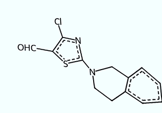 O=Cc1sc(N2CCc3ccccc3C2)nc1Cl